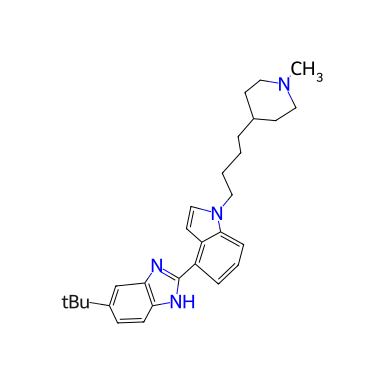 CN1CCC(CCCCn2ccc3c(-c4nc5cc(C(C)(C)C)ccc5[nH]4)cccc32)CC1